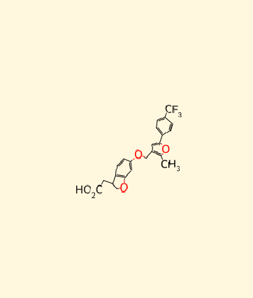 Cc1oc(-c2ccc(C(F)(F)F)cc2)cc1COc1ccc2c(c1)OCC2CC(=O)O